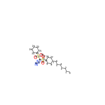 CCCCCCCC1CCC(S(=O)(=O)C(=[N+]=[N-])S(=O)(=O)C2CCCCC2)CC1